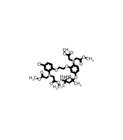 COC(=O)CN(CC(=O)OC)c1ccc(OC(C)(C)CC(C)(C)N)cc1OCCOc1ccc(Cl)cc1N(CC(=O)OC)CC(=O)OC